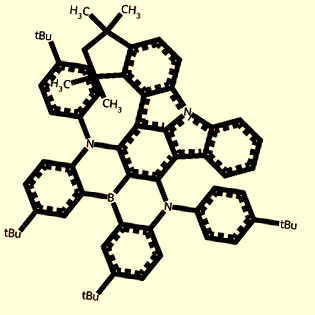 CC(C)(C)c1ccc(N2c3ccc(C(C)(C)C)cc3B3c4cc(C(C)(C)C)ccc4N(c4ccc(C(C)(C)C)cc4)c4c3c2c2c3ccccc3n3c5ccc6c(c5c4c23)C(C)(C)CC6(C)C)cc1